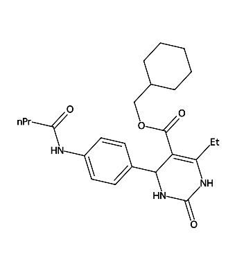 CCCC(=O)Nc1ccc(C2NC(=O)NC(CC)=C2C(=O)OCC2CCCCC2)cc1